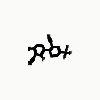 N#Cc1cc(C(F)(F)F)ccc1-c1ccc(F)c(C#N)c1F